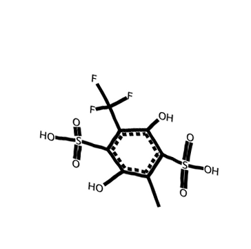 Cc1c(O)c(S(=O)(=O)O)c(C(F)(F)F)c(O)c1S(=O)(=O)O